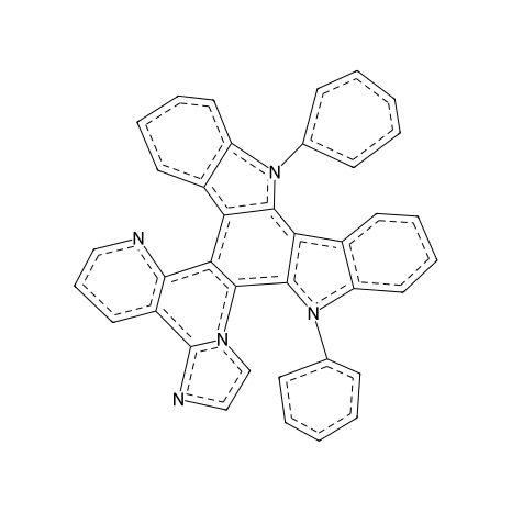 c1ccc(-n2c3ccccc3c3c4c5ncccc5c5nccn5c4c4c(c5ccccc5n4-c4ccccc4)c32)cc1